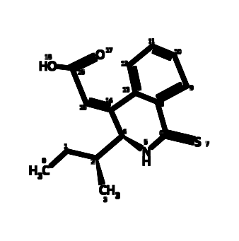 CC[C@H](C)[C@@H]1NC(=S)c2ccccc2C1=CC(=O)O